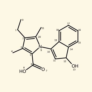 CCc1c(C)c(C(=O)O)n(C2=CC(O)c3ccccc32)c1C